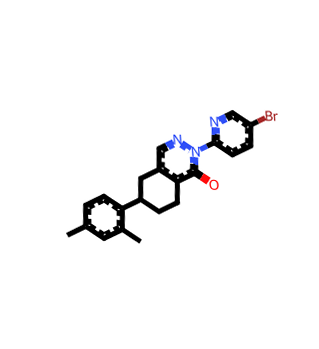 Cc1ccc(C2CCc3c(cnn(-c4ccc(Br)cn4)c3=O)C2)c(C)c1